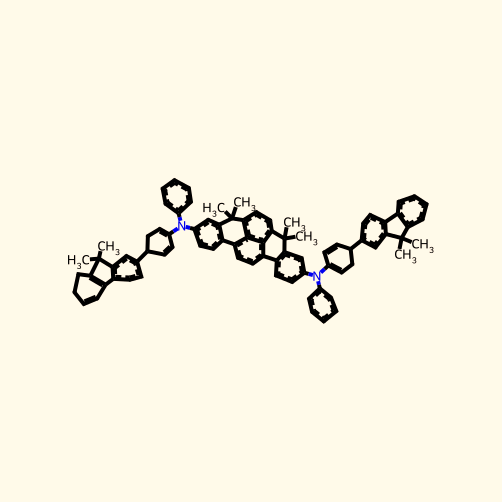 CC1(C)C2=C(C=CCC2)c2ccc(C3C=CC(N(c4ccccc4)c4ccc5c(c4)C(C)(C)c4ccc6c7c(ccc-5c47)-c4ccc(N(C5=CCC(c7ccc8c(c7)C(C)(C)c7ccccc7-8)C=C5)c5ccccc5)cc4C6(C)C)=CC3)cc21